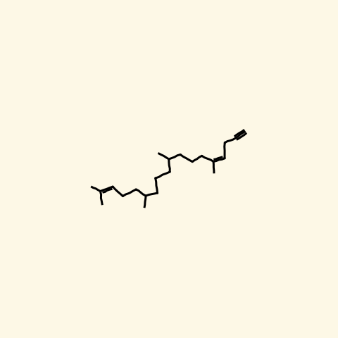 C#CCC=C(C)CCCC(C)CCCC(C)CCC=C(C)C